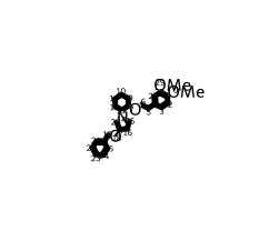 COc1ccc(CCOC2CCCCC2N2CC[C@@H](OCc3ccccc3)C2)cc1OC